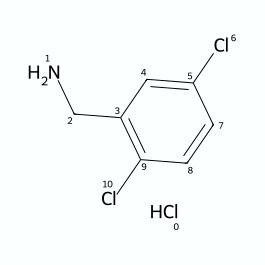 Cl.NCc1cc(Cl)ccc1Cl